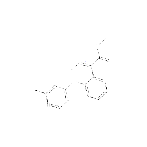 C/C=C(/C(=O)OC)c1ccccc1Oc1cc(C)ncn1